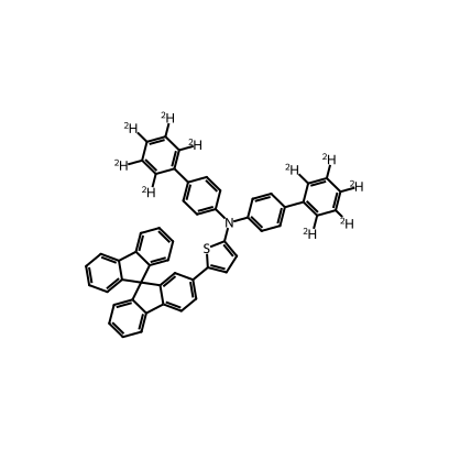 [2H]c1c([2H])c([2H])c(-c2ccc(N(c3ccc(-c4c([2H])c([2H])c([2H])c([2H])c4[2H])cc3)c3ccc(-c4ccc5c(c4)C4(c6ccccc6-c6ccccc64)c4ccccc4-5)s3)cc2)c([2H])c1[2H]